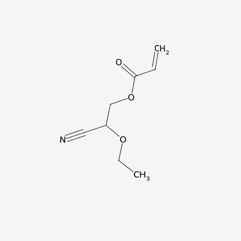 C=CC(=O)OCC(C#N)OCC